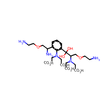 NCCOCC(N)c1cccc(C(O)(O)C(COCCN)N(CC(=O)O)CC(=O)O)c1N(CC(=O)O)CC(=O)O